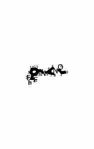 C=CC(=O)N1CC2C(C1)C2NCc1cccc(C(F)(F)F)c1